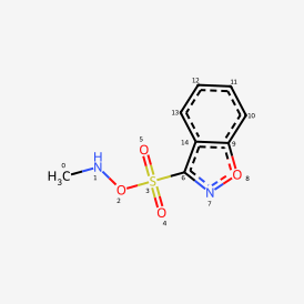 CNOS(=O)(=O)c1noc2ccccc12